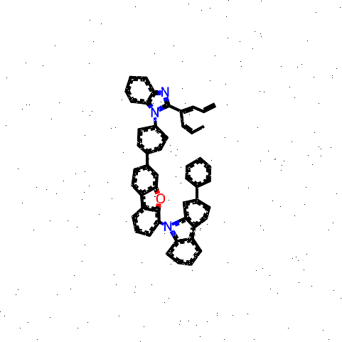 C=C/C=C(\C=C/C)c1nc2ccccc2n1-c1ccc(-c2ccc3c(c2)oc2c(-n4c5ccccc5c5ccc(-c6ccccc6)cc54)cccc23)cc1